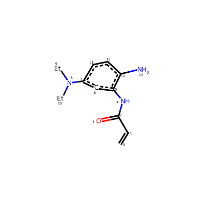 C=CC(=O)Nc1cc(N(CC)CC)ccc1N